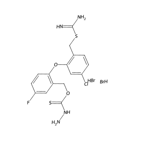 Br.Br.N=C(N)SCc1ccc(Cl)cc1Oc1ccc(F)cc1COC(=S)NN